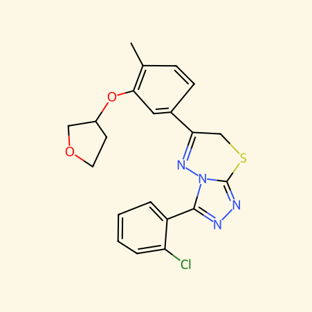 Cc1ccc(C2=Nn3c(nnc3-c3ccccc3Cl)SC2)cc1OC1CCOC1